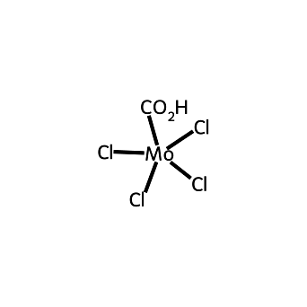 O=[C](O)[Mo]([Cl])([Cl])([Cl])[Cl]